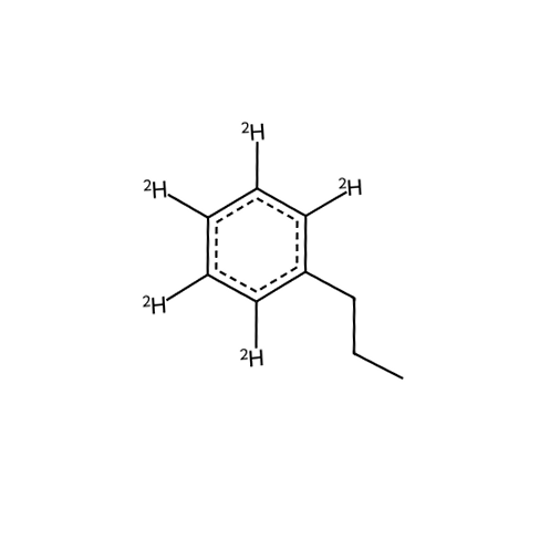 [2H]c1c([2H])c([2H])c(CCC)c([2H])c1[2H]